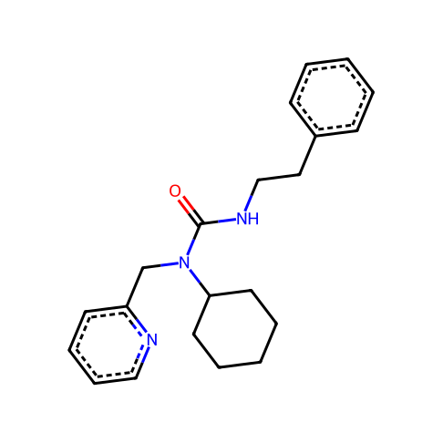 O=C(NCCc1ccccc1)N(Cc1ccccn1)C1CCCCC1